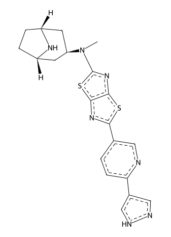 CN(c1nc2sc(-c3ccc(-c4cn[nH]c4)nc3)nc2s1)[C@@H]1C[C@H]2CC[C@@H](C1)N2